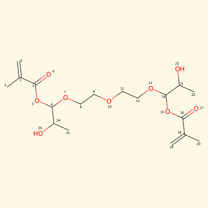 C=C(C)C(=O)OC(OCCOCCOC(OC(=O)C(=C)C)C(C)O)C(C)O